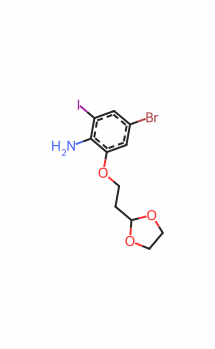 Nc1c(I)cc(Br)cc1OCCC1OCCO1